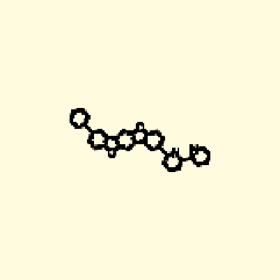 c1ccc(-c2ccc3oc4cc5c(cc4c3c2)oc2ccc(-c3cccc(-c4ccccn4)n3)cc25)cc1